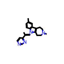 CC(=Cn1c2c(c3cc(C)ccc31)CCN(C)CC2)c1ccncn1